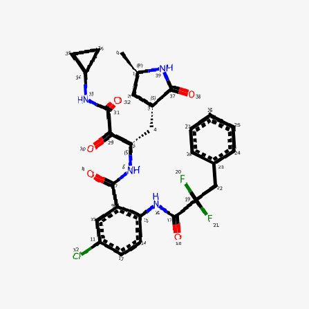 C[C@@H]1C[C@@H](C[C@H](NC(=O)c2cc(Cl)ccc2NC(=O)C(F)(F)Cc2ccccc2)C(=O)C(=O)NC2CC2)C(=O)N1